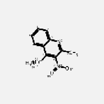 Cc1nc2ccccc2c(C)c1[N+](=O)[O-].N